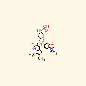 Cc1ccc2cc(CN(C3CCC(NC(=O)O)CC3)S(=O)(=O)c3ccc4c(c3)OCCN4C)c(=O)[nH]c2c1C